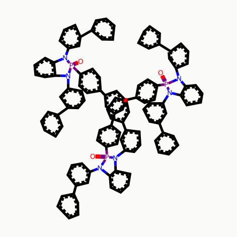 O=P1(c2ccc(-c3cc(-c4ccc(P5(=O)N(c6cccc(-c7ccccc7)c6)c6ccccc6N5c5cccc(-c6ccccc6)c5)cc4)cc(-c4ccc(P5(=O)N(c6cccc(-c7ccccc7)c6)c6ccccc6N5c5cccc(-c6ccccc6)c5)cc4)c3)cc2)N(c2cccc(-c3ccccc3)c2)c2ccccc2N1c1cccc(-c2ccccc2)c1